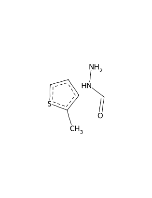 Cc1cccs1.NNC=O